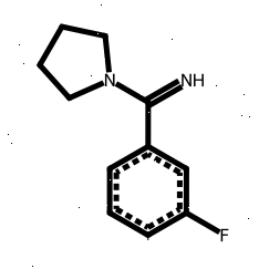 N=C(c1cc[c]c(F)c1)N1CCCC1